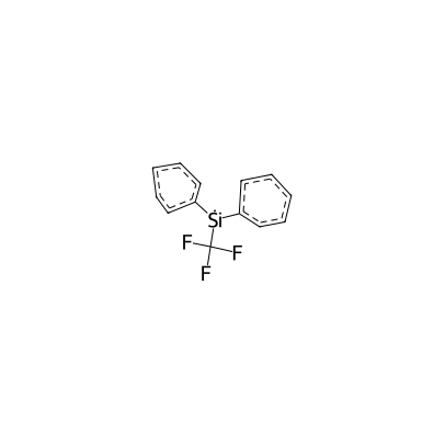 FC(F)(F)[Si](c1ccccc1)c1ccccc1